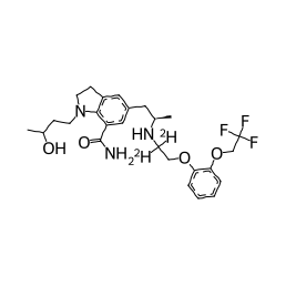 [2H]C([2H])(COc1ccccc1OCC(F)(F)F)N[C@H](C)Cc1cc2c(c(C(N)=O)c1)N(CCC(C)O)CC2